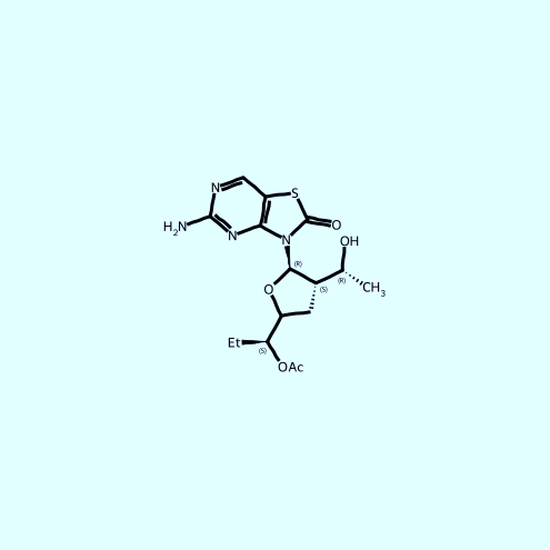 CC[C@H](OC(C)=O)C1C[C@@H]([C@@H](C)O)[C@H](n2c(=O)sc3cnc(N)nc32)O1